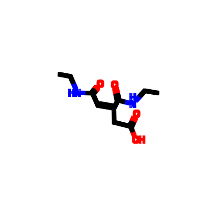 CCNC(=O)C=C(CC(=O)O)C(=O)NCC